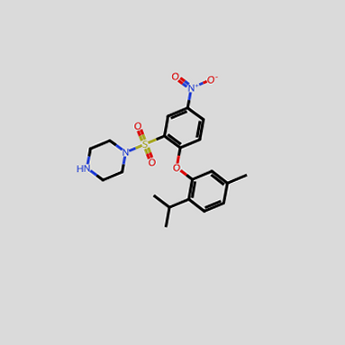 Cc1ccc(C(C)C)c(Oc2ccc([N+](=O)[O-])cc2S(=O)(=O)N2CCNCC2)c1